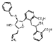 C=CC[C@@H]1O[C@H](c2cccc(C(=O)O)c2C[C@@H](C)c2ccccc2C(=O)O)[C@H](OCc2ccccc2)[C@H]1O